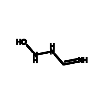 N=CNNO